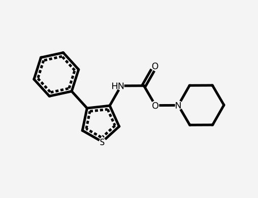 O=C(Nc1cscc1-c1ccccc1)ON1CCCCC1